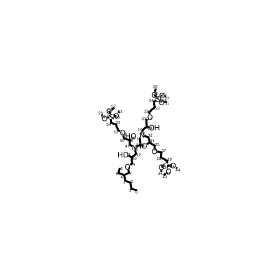 CCCCC(CC)COCC(O)CN(CCN(CC(O)COCCC[Si](OC)(OC)OC)CC(O)COCCC[Si](OC)(OC)OC)CC(O)COCCC[Si](OC)(OC)OC